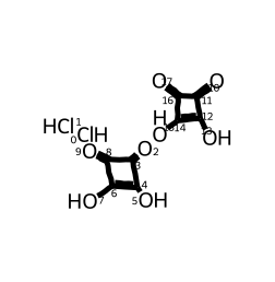 Cl.Cl.O=c1c(O)c(O)c1=O.O=c1c(O)c(O)c1=O